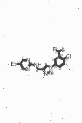 CCc1cnc(NCc2cn(-c3ccc(Cl)c(C(F)F)c3)nn2)nc1